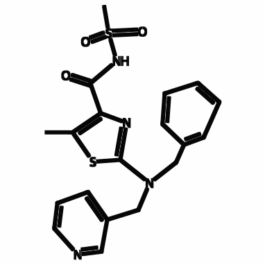 Cc1sc(N(Cc2ccccc2)Cc2cccnc2)nc1C(=O)NS(C)(=O)=O